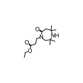 CCOC(=O)CCN1CC(C)(C)NC(C)(C)CC1=O